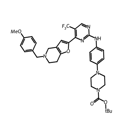 COc1ccc(CN2CCc3oc(-c4nc(Nc5ccc(N6CCN(C(=O)OC(C)(C)C)CC6)cc5)ncc4C(F)(F)F)cc3C2)cc1